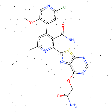 COc1cnc(Cl)cc1-c1cc(C)nc(-c2nc3c(OCC(N)=O)ncnc3s2)c1C(N)=O